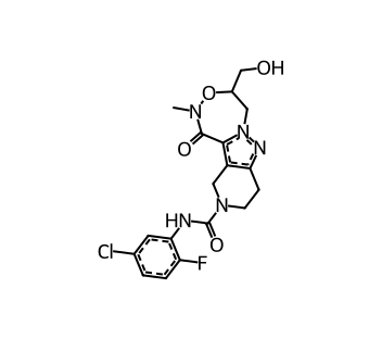 CN1OC(CO)Cn2nc3c(c2C1=O)CN(C(=O)Nc1cc(Cl)ccc1F)CC3